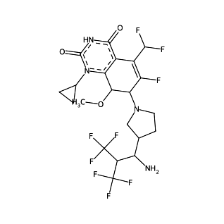 COC1c2c(c(=O)[nH]c(=O)n2C2CC2)C(C(F)F)=C(F)C1N1CCC(C(N)C(C(F)(F)F)C(F)(F)F)C1